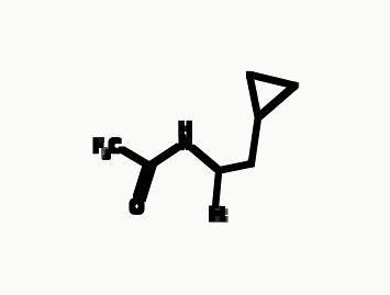 CCC(CC1CC1)NC(=O)C(F)(F)F